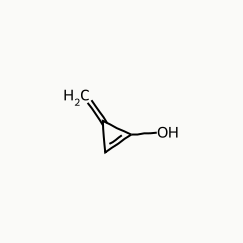 C=C1C=C1O